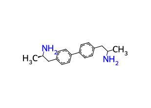 CC(N)Cc1ccc(-c2ccc(C[C@@H](C)N)cc2)cc1